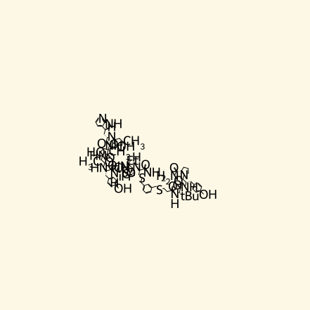 CC[C@H](NC(=O)[C@@](C)(NC(=O)[C@H](Cc1ccc(O)cc1)NC(=O)[C@H](C)NC(=O)[C@](C)(CO)NC(=O)[C@H](Cc1c[nH]c2ncccc12)NC(=O)C[C@@H](C)O)C(C)C)C(=O)N[C@H](CSCc1cccc(CSCCC(=O)N[C@H](C(=O)N[C@@H](Cc2ccc(O)cc2)C(=O)N2CCC[C@H]2C(N)=O)C(C)(C)C)c1)C(N)=O